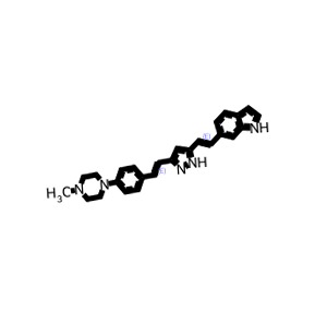 CN1CCN(c2ccc(/C=C/c3cc(/C=C/c4ccc5cc[nH]c5c4)[nH]n3)cc2)CC1